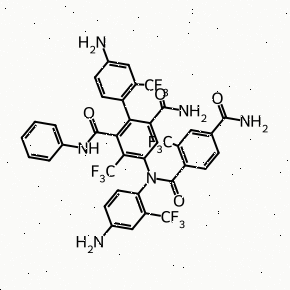 NC(=O)c1ccc(C(=O)N(c2ccc(N)cc2C(F)(F)F)c2cc(C(N)=O)c(-c3ccc(N)cc3C(F)(F)F)c(C(=O)Nc3ccccc3)c2C(F)(F)F)c(C(F)(F)F)c1